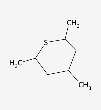 CC1CC(C)SC(C)C1